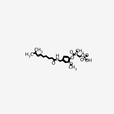 COc1cc(CNC(=O)CCCC/C=C/C(C)C)ccc1OC(=O)N(C)COS(=O)(=O)O